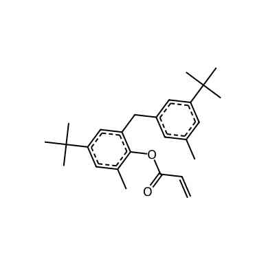 C=CC(=O)Oc1c(C)cc(C(C)(C)C)cc1Cc1cc(C)cc(C(C)(C)C)c1